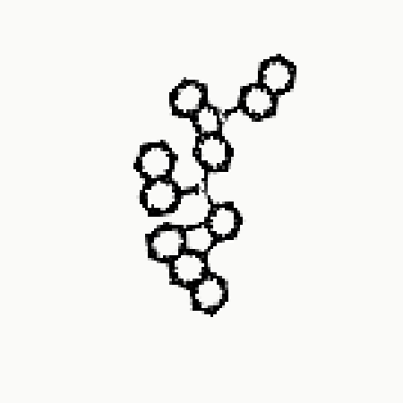 c1cc2c(c(N(c3ccc4c(c3)c3ccccc3n4-c3ccc4ccccc4c3)c3cccc4ccccc34)c1)-c1cccc3cc4ccccc4c-2c13